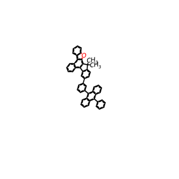 CC1(C)c2ccc(-c3cccc(-c4c5ccccc5c(-c5ccccc5)c5ccccc45)c3)cc2-c2c1c1oc3ccccc3c1c1ccccc21